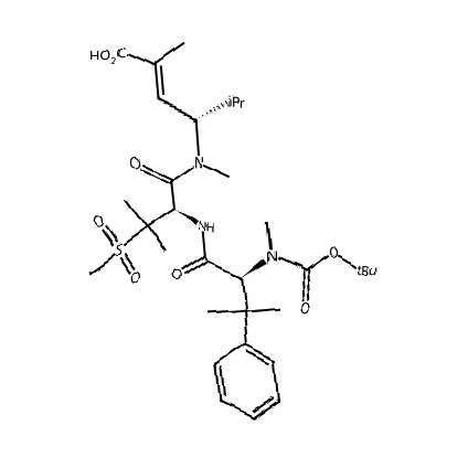 C/C(=C\[C@H](C(C)C)N(C)C(=O)[C@@H](NC(=O)[C@@H](N(C)C(=O)OC(C)(C)C)C(C)(C)c1ccccc1)C(C)(C)S(C)(=O)=O)C(=O)O